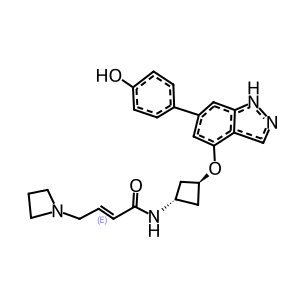 O=C(/C=C/CN1CCC1)N[C@H]1C[C@H](Oc2cc(-c3ccc(O)cc3)cc3[nH]ncc23)C1